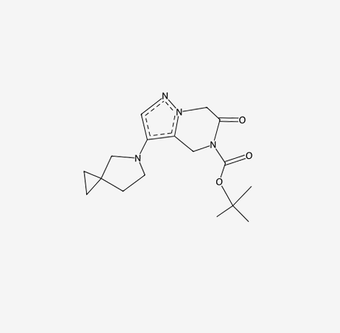 CC(C)(C)OC(=O)N1Cc2c(N3CCC4(CC4)C3)cnn2CC1=O